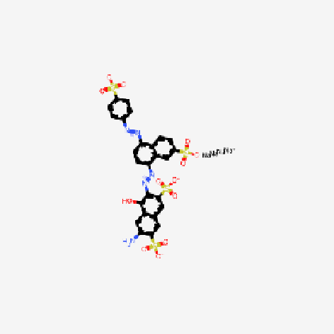 Nc1cc2c(O)c(/N=N/c3ccc(/N=N/c4ccc(S(=O)(=O)[O-])cc4)c4ccc(S(=O)(=O)[O-])cc34)c(S(=O)(=O)[O-])cc2cc1S(=O)(=O)[O-].[Na+].[Na+].[Na+].[Na+]